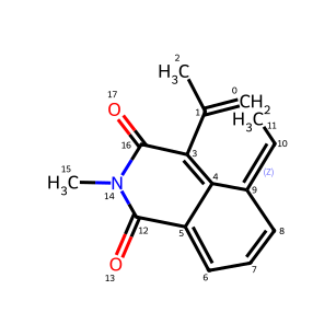 C=C(C)C1=c2c(ccc/c2=C/C)C(=O)N(C)C1=O